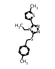 CCn1c(SCc2ccc(C)cc2)nnc1-c1ccc(C)s1